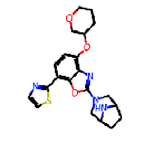 c1csc(-c2ccc(OC3CCCOC3)c3nc(N4CC5CCC(C4)N5)oc23)n1